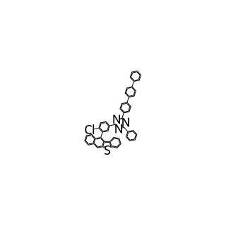 Clc1ccc(-c2nc(-c3ccccc3)nc(-c3ccc(-c4ccc(-c5ccccc5)cc4)cc3)n2)cc1-c1c2ccccc2cc2sc3ccccc3c12